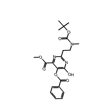 COC(=O)c1nc(CCN(C)C(=O)OC(C)(C)C)nc(O)c1OC(=O)c1ccccc1